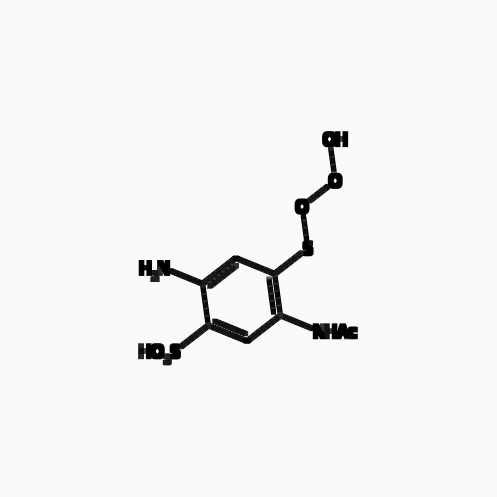 CC(=O)Nc1cc(S(=O)(=O)O)c(N)cc1SOOO